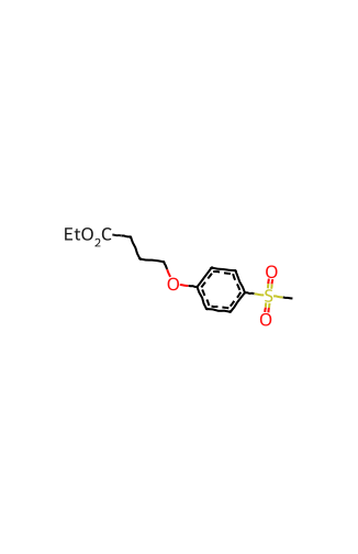 CCOC(=O)CCCOc1ccc(S(C)(=O)=O)cc1